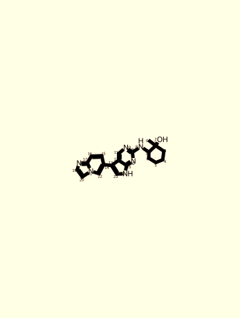 CC1(O)CCCCC1Nc1ncc2c(-c3ccc4nccn4c3)c[nH]c2n1